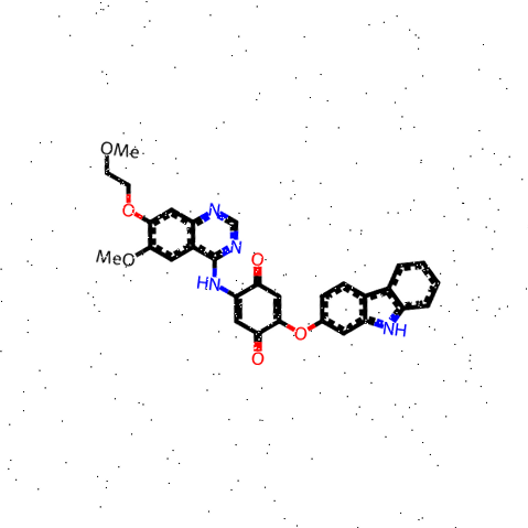 COCCOc1cc2ncnc(NC3=CC(=O)C(Oc4ccc5c(c4)[nH]c4ccccc45)=CC3=O)c2cc1OC